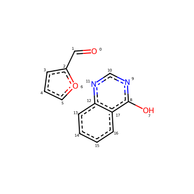 O=Cc1ccco1.Oc1ncnc2ccccc12